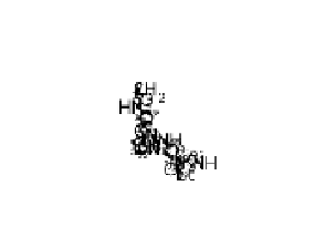 C=CC(=O)Nc1cccc(Oc2nc(Nc3ccc(N(C(=O)CC)C4CCNC4)cc3)nc3ccsc23)c1